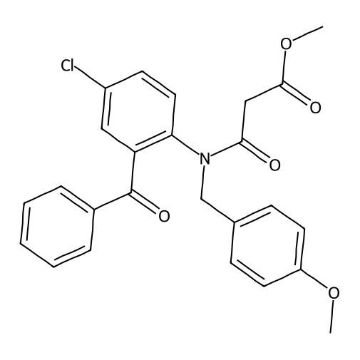 COC(=O)CC(=O)N(Cc1ccc(OC)cc1)c1ccc(Cl)cc1C(=O)c1ccccc1